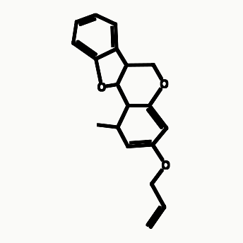 C=CCOC1=CC(C)C2C(=C1)OCC1c3ccccc3OC12